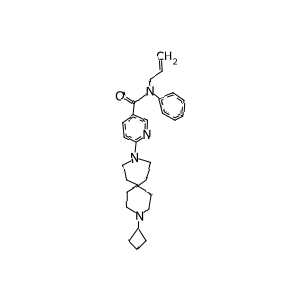 C=CCN(C(=O)c1ccc(N2CCC3(CC2)CCN(C2CCC2)CC3)nc1)c1ccccc1